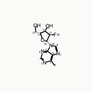 Cc1ncnc2c1ncn2[C@@H]1O[C@H](CO)[C@@H](O)[C@H]1F